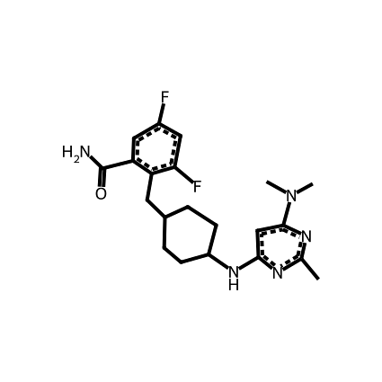 Cc1nc(NC2CCC(Cc3c(F)cc(F)cc3C(N)=O)CC2)cc(N(C)C)n1